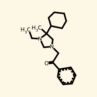 CCN1CN(CC(=O)c2ccccc2)CC1(C)C1CCCCC1